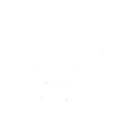 CC(C)C[C@H](NC(=O)[C@@H](NC(=O)[C@H](C)N)C(C)C)C(=O)N[C@H](/C=C/C(=O)OCc1ccccc1)C[C@@H]1CCNC1=O